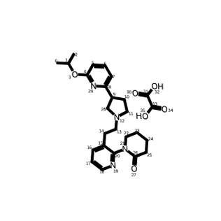 CC(C)Oc1cccc(C2CCN(CCc3cccnc3N3CCCCC3=O)C2)n1.O=C(O)C(=O)O